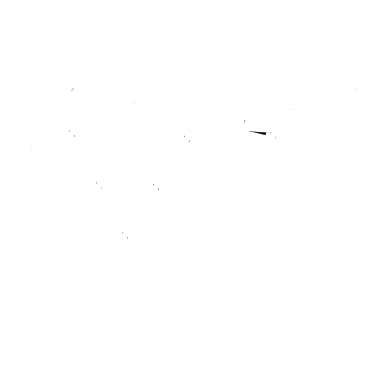 CC[C@@H]1COc2c(N3CC[C@@H](N(C)C(=O)OC(C)(C)C)C3)nc(NC(=O)OC(C)(C)C)nc2N1C(=O)O